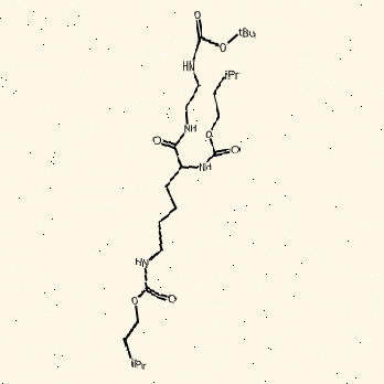 CC(C)CCOC(=O)NCCCCC(NC(=O)OCCC(C)C)C(=O)NCCNC(=O)OC(C)(C)C